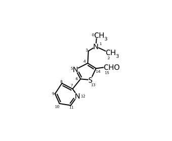 CN(C)Cc1nc(-c2ccccn2)sc1C=O